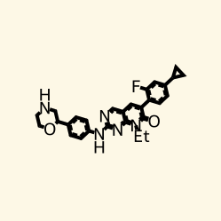 CCn1c(=O)c(-c2ccc(C3CC3)cc2F)cc2cnc(Nc3ccc(C4CNCCO4)cc3)nc21